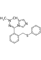 CN(C)N=C(c1ccccc1CSc1ccccc1)n1ccnc1